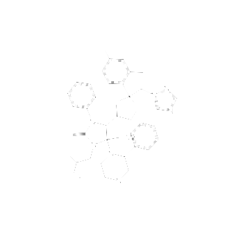 COC1(N2CCNCC2c2ccccc2)C(C2COC(Cn3cncn3)(c3ccc(F)cc3F)O2)N(c2ccccc2)C(=O)N1CC(O)C(C)(C)C